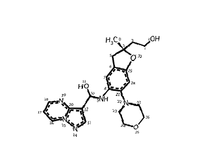 C[C@]1(CCO)Cc2cc(NC(O)c3cnn4cccnc34)c(N3CCOCC3)cc2O1